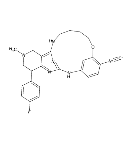 [C-]#[N+]c1ccc2cc1OCCCCNc1nc(nc3c1CN(C)CC3c1ccc(F)cc1)N2